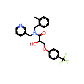 Cc1ccccc1CN(Cc1cccnc1)C(=O)C(O)COc1ccc(C(F)(F)F)cc1